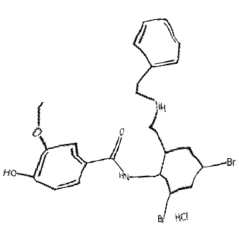 COc1cc(C(=O)NC2C(Br)CC(Br)CC2CNCc2ccccc2)ccc1O.Cl